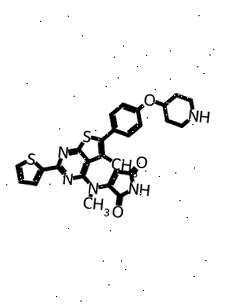 Cc1c(-c2ccc(OC3CCNCC3)cc2)sc2nc(-c3cccs3)nc(N(C)C3=CC(=O)NC3=O)c12